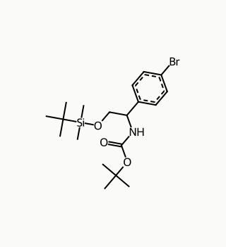 CC(C)(C)OC(=O)NC(CO[Si](C)(C)C(C)(C)C)c1ccc(Br)cc1